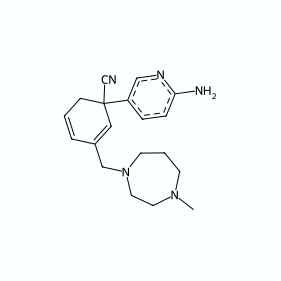 CN1CCCN(CC2=CC(C#N)(c3ccc(N)nc3)CC=C2)CC1